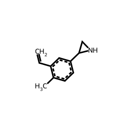 C=Cc1cc(C2CN2)ccc1C